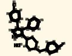 Cl.Fc1ccc(CN2CCC(c3[nH]nc(-c4ccc(Cl)cc4)c3-c3ccncn3)CC2)cc1